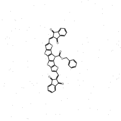 O=C1C(=Cc2cc3sc4c5sc6cc(C=C7C(=O)c8ccccc8C7=O)sc6c5n(C(=O)OCc5ccccc5)c4c3s2)C(=O)c2ccccc21